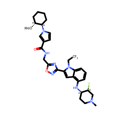 CO[C@@H]1CCCC[C@H]1n1ccc(C(=O)NCc2nc(-c3cc4c(N[C@@H]5CCN(C)C[C@@H]5F)cccc4n3CC(F)(F)F)no2)c1